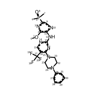 COc1nc(P(C)(C)=O)cnc1Nc1ncc(C(F)(F)F)c(N2CCN(c3ccccc3)CC2)n1